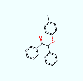 Cc1ccc(OC(C(=O)c2ccccc2)c2ccccc2)cc1